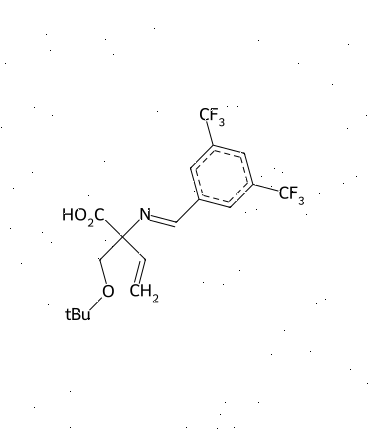 C=CC(COC(C)(C)C)(N=Cc1cc(C(F)(F)F)cc(C(F)(F)F)c1)C(=O)O